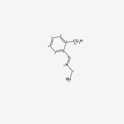 CCC(C)C/N=C/c1ccccc1C(=O)O